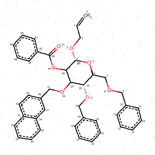 C=CCO[C@@H]1OC(COCc2ccccc2)[C@H](OCc2ccccc2)C(OCc2ccc3ccccc3c2)C1OC(=O)c1ccccc1